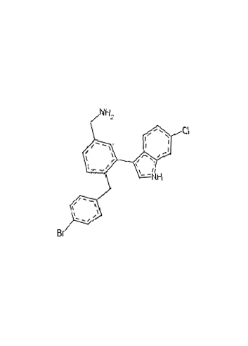 NCc1[c]c(-c2c[nH]c3cc(Cl)ccc23)c(Cc2ccc(Br)cc2)cc1